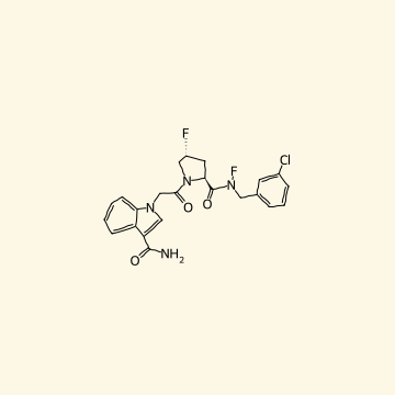 NC(=O)c1cn(CC(=O)N2C[C@H](F)C[C@H]2C(=O)N(F)Cc2cccc(Cl)c2)c2ccccc12